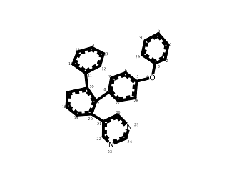 c1ccc(Oc2ccc(-c3c(-c4ccccc4)cccc3-c3cncnc3)cc2)cc1